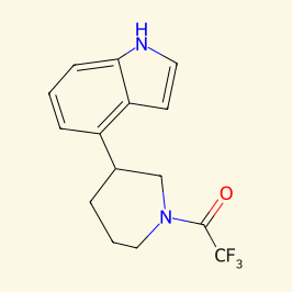 O=C(N1CCCC(c2cccc3[nH]ccc23)C1)C(F)(F)F